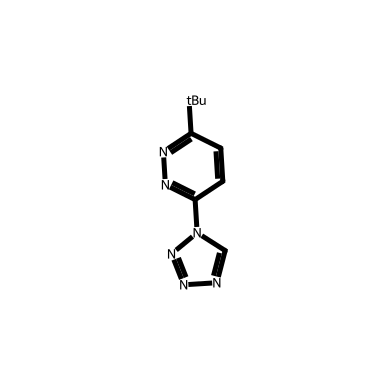 CC(C)(C)c1ccc(-n2cnnn2)nn1